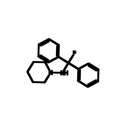 FC(NN1CCCCC1)(c1ccccc1)c1ccccc1